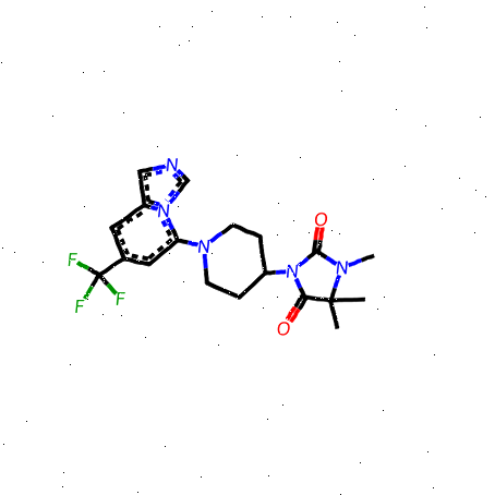 CN1C(=O)N(C2CCN(c3cc(C(F)(F)F)cc4cncn34)CC2)C(=O)C1(C)C